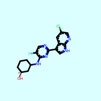 O[C@H]1CCCC(Nc2nc(-c3c[nH]c4ncc(Cl)cc34)ncc2F)C1